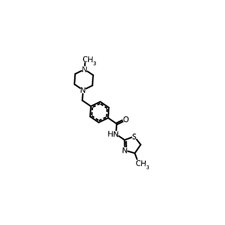 CC1CSC(NC(=O)c2ccc(CN3CCN(C)CC3)cc2)=N1